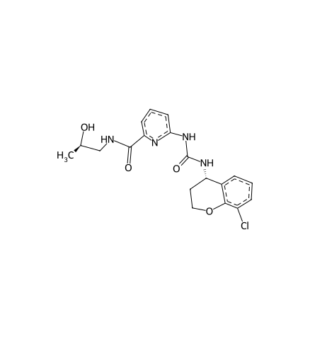 C[C@@H](O)CNC(=O)c1cccc(NC(=O)N[C@H]2CCOc3c(Cl)cccc32)n1